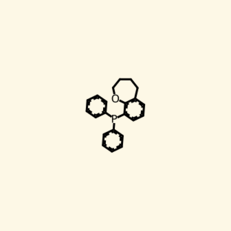 c1ccc(P(c2ccccc2)c2cccc3c2OCCCC3)cc1